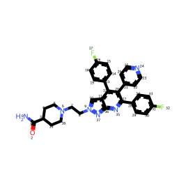 NC(=O)C1CCN(CCn2cc3c(-c4ccc(F)cc4)c(-c4ccncc4)c(-c4ccc(F)cc4)nc3n2)CC1